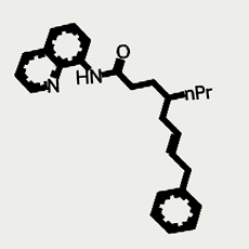 CCCC(CC=CCc1ccccc1)CCC(=O)Nc1cccc2cccnc12